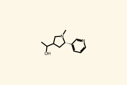 CC(O)C1C[C@@H](c2cccnc2)N(C)C1